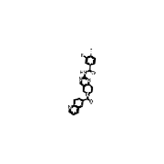 O=C(Nc1ncc2c(n1)CCN(C(=O)c1ccc3ncccc3c1)C2)c1ccc(F)c(F)c1